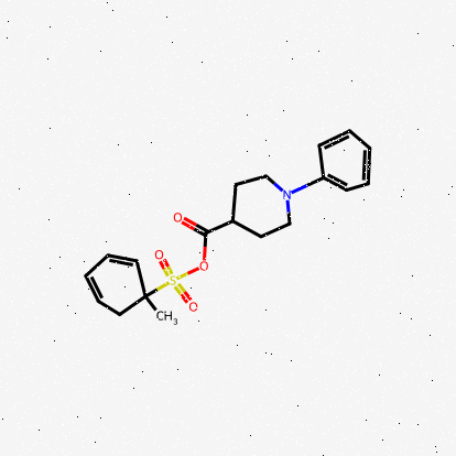 CC1(S(=O)(=O)OC(=O)C2CCN(c3ccccc3)CC2)C=CC=CC1